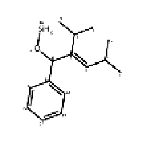 CC(C)C=C(C(C)C)C(O[SiH3])c1ccccc1